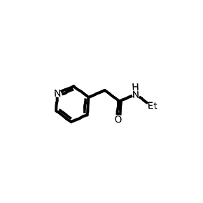 CCNC(=O)Cc1cccnc1